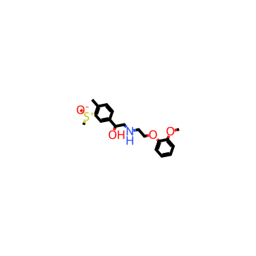 COc1ccccc1OCCNCC(O)c1ccc(C)c([S+](C)[O-])c1